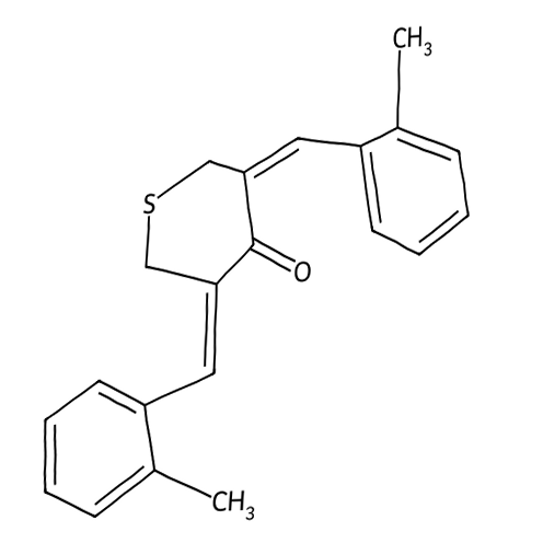 Cc1ccccc1/C=C1\CSC/C(=C/c2ccccc2C)C1=O